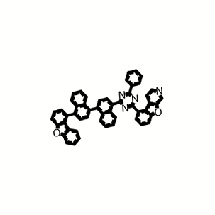 c1ccc(-c2nc(-c3ccc(-c4ccc(-c5cccc6oc7ccccc7c56)c5ccccc45)c4ccccc34)nc(-c3cccc4oc5cnccc5c34)n2)cc1